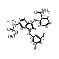 CN(C(=O)OC(C)(C)C)c1ccc2c(Sc3ccccc3C(N)=O)cn(Cc3cc(F)cc(F)c3)c2c1